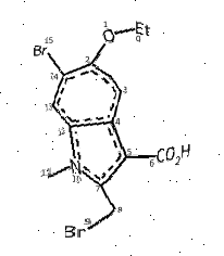 CCOc1cc2c(C(=O)O)c(CBr)n(C)c2cc1Br